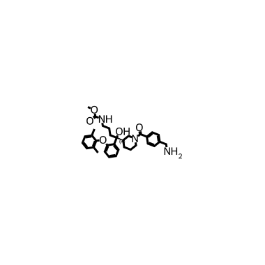 COC(=O)NCCCC(O)(c1ccccc1Oc1c(C)cccc1C)[C@@H]1CCCN(C(=O)c2ccc(CN)cc2)C1